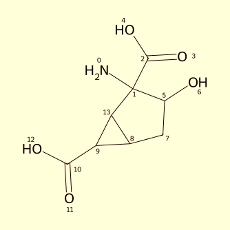 NC1(C(=O)O)C(O)CC2C(C(=O)O)C21